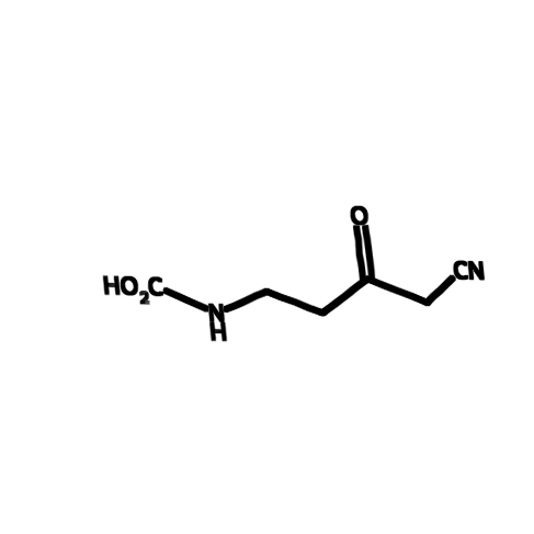 N#CCC(=O)CCNC(=O)O